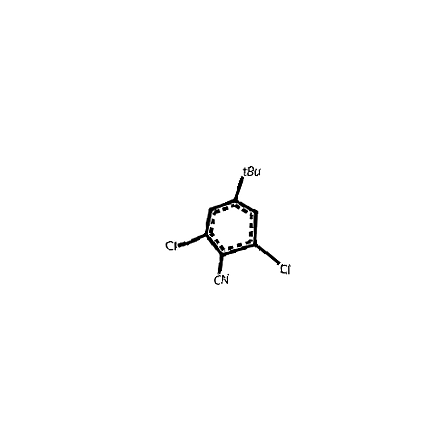 CC(C)(C)c1cc(Cl)c(C#N)c(Cl)c1